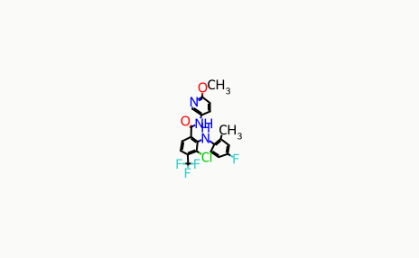 COc1ccc(NC(=O)c2ccc(C(F)(F)F)c(Cl)c2Nc2ccc(F)cc2C)cn1